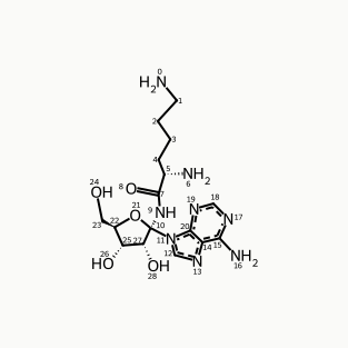 NCCCC[C@H](N)C(=O)N[C@@]1(n2cnc3c(N)ncnc32)O[C@H](CO)[C@@H](O)[C@H]1O